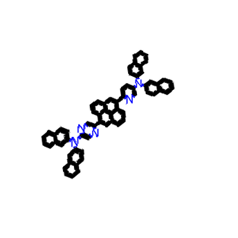 c1ccc2cc(N(c3ccc(-c4cc5cccc6c(-c7cnc(N(c8ccc9ccccc9c8)c8ccc9ccccc9c8)cn7)cc7cccc4c7c56)nc3)c3ccc4ccccc4c3)ccc2c1